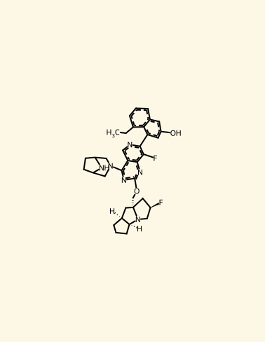 CCc1cccc2cc(O)cc(-c3ncc4c(N5CC6CCC(C5)N6)nc(OC[C@]56C[C@@H](F)CN5[C@H]5CCC[C@H]5C6)nc4c3F)c12